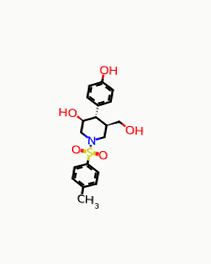 Cc1ccc(S(=O)(=O)N2C[C@H](CO)[C@@H](c3ccc(O)cc3)[C@H](O)C2)cc1